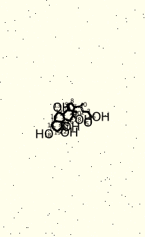 CC(CCC(=O)O)C1CCC2C3C(O)CC4CC(O)CC(O)(O)C4(C)C3CC(O)C12C